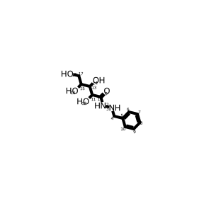 O=C(NNCc1ccccc1)C(O)C(O)C(O)CO